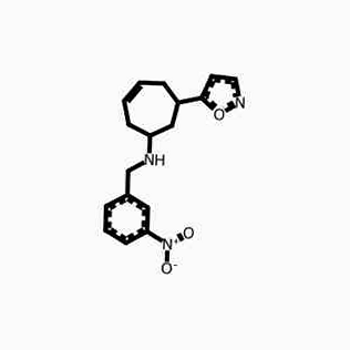 O=[N+]([O-])c1cccc(CNC2CC=CCC(c3ccno3)C2)c1